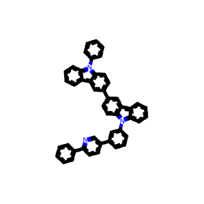 c1ccc(-c2ccc(-c3cccc(-n4c5ccccc5c5cc(-c6ccc7c(c6)c6ccccc6n7-c6ccccc6)ccc54)c3)cn2)cc1